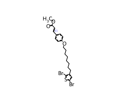 COC(=O)/C=C/c1ccc(OCCCCCCCCc2cc(Br)sc2Br)cc1